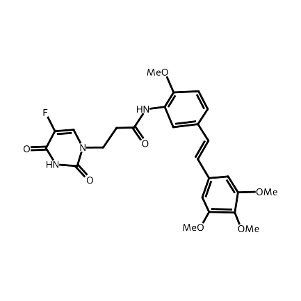 COc1ccc(C=Cc2cc(OC)c(OC)c(OC)c2)cc1NC(=O)CCn1cc(F)c(=O)[nH]c1=O